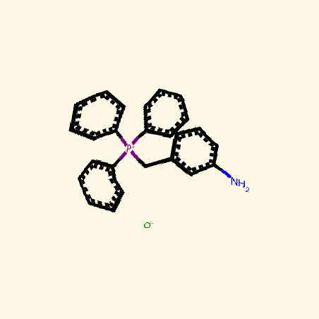 Nc1cccc(C[P+](c2ccccc2)(c2ccccc2)c2ccccc2)c1.[Cl-]